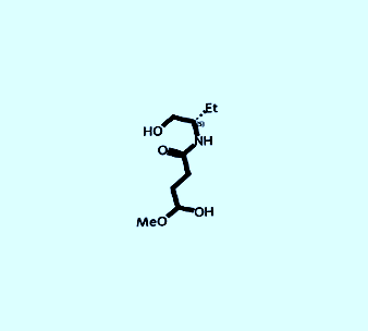 CC[C@@H](CO)NC(=O)CCC(O)OC